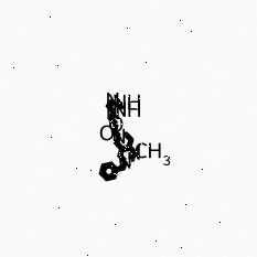 CN1CN(Cc2ccccc2)CC2=C1CCN(C(=O)OCN1C=NNN1)C2